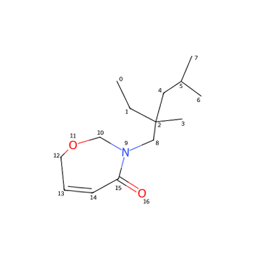 CCC(C)(CC(C)C)CN1COCC=CC1=O